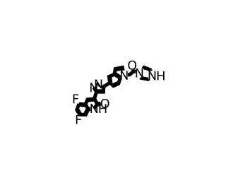 O=C(Cn1ccc2cc(C3C=C(c4cc5c(F)cc(F)cc5[nH]c4=O)N=N3)ccc21)N1CCNCC1